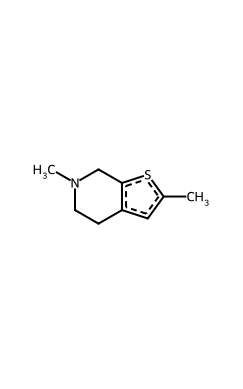 Cc1cc2c(s1)CN(C)CC2